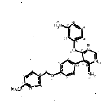 COc1ccc(COc2ccc(-c3c(N)ncnc3Oc3cccc(N)c3)cc2)cc1